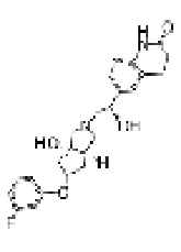 O=C1CCc2cc([C@@H](O)CN3C[C@H]4C[C@H](Oc5cccc(F)c5)C[C@@]4(O)C3)ccc2N1